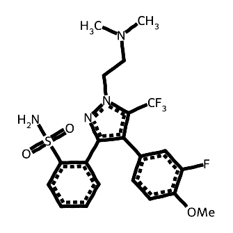 COc1ccc(-c2c(-c3ccccc3S(N)(=O)=O)nn(CCN(C)C)c2C(F)(F)F)cc1F